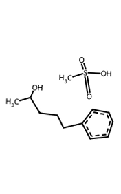 CC(O)CCCc1ccccc1.CS(=O)(=O)O